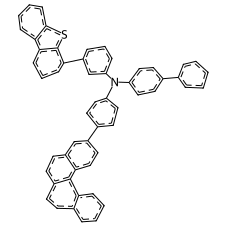 c1ccc(-c2ccc(N(c3ccc(-c4ccc5c(ccc6ccc7ccccc7c65)c4)cc3)c3cccc(-c4cccc5c4sc4ccccc45)c3)cc2)cc1